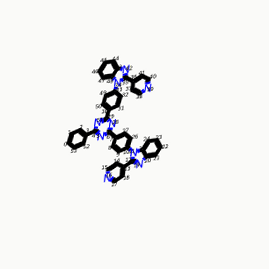 c1ccc(-c2nc(-c3ccc(-n4c(-c5ccncc5)nc5ccccc54)cc3)nc(-c3ccc(-n4c(-c5ccncc5)nc5ccccc54)cc3)n2)cc1